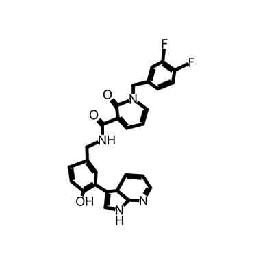 O=C(NCc1ccc(O)c(C2=CNC3N=CC=CC23)c1)c1cccn(Cc2ccc(F)c(F)c2)c1=O